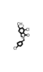 CCc1cc(Cl)c2c(c1)CN(Cc1ccc(Cl)cc1)C2=O